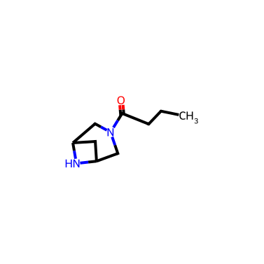 CCCC(=O)N1CC2CC(C1)N2